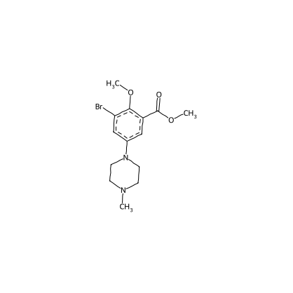 COC(=O)c1cc(N2CCN(C)CC2)cc(Br)c1OC